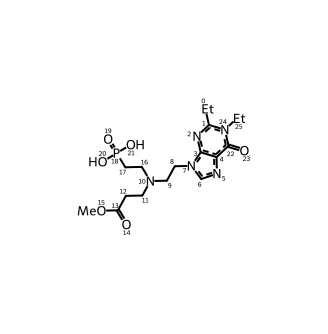 CCc1nc2c(ncn2CCN(CCC(=O)OC)CCP(=O)(O)O)c(=O)n1CC